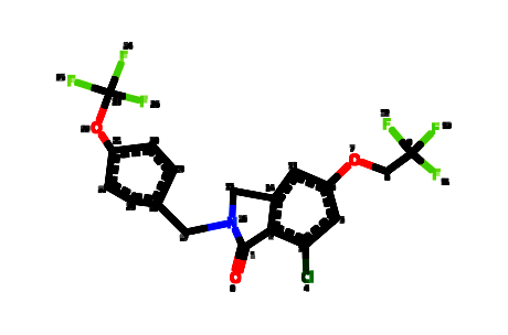 O=C1c2c(Cl)cc(OCC(F)(F)F)cc2CN1Cc1ccc(OC(F)(F)F)cc1